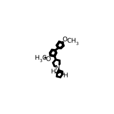 COc1ccc(-c2ccc(OC)c(C3CCN([C@@H]4C[C@H]5CC[C@H]4C5)CC3)c2)cc1